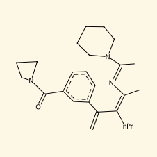 C=C(/C(CCC)=C(C)\N=C(/C)N1CCCCC1)c1cccc(C(=O)N2CCC2)c1